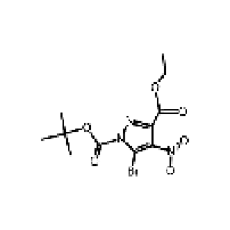 CCOC(=O)c1nn(C(=O)OC(C)(C)C)c(Br)c1[N+](=O)[O-]